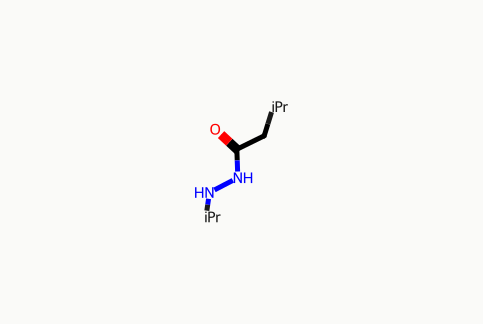 CC(C)CC(=O)NNC(C)C